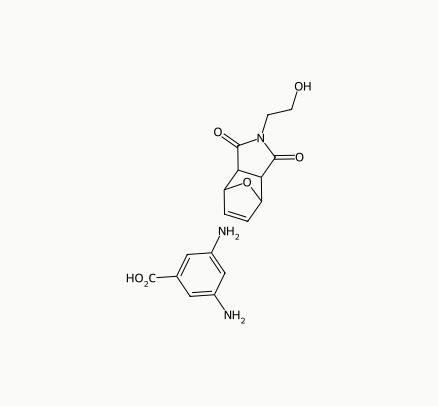 Nc1cc(N)cc(C(=O)O)c1.O=C1C2C3C=CC(O3)C2C(=O)N1CCO